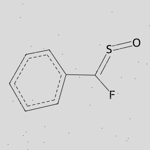 O=S=C(F)c1ccccc1